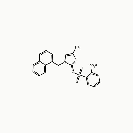 Cc1cn(Cc2cccc3ccccc23)c(=NS(=O)(=O)c2ccccc2C(=O)O)s1